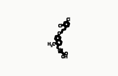 CC1=C(CN2CC(C(=O)O)C2)CCc2cc(OCCCc3ccc(Cl)cc3Cl)ccc21